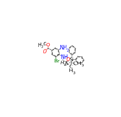 COC(=O)c1cc(N)c(NCC2(O[Si](c3ccccc3)(c3ccccc3)C(C)(C)C)CC2)c(Br)c1